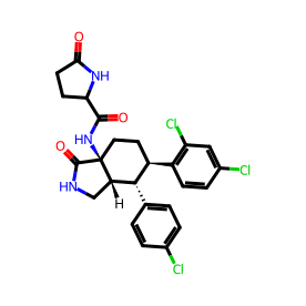 O=C1CCC(C(=O)N[C@@]23CC[C@@H](c4ccc(Cl)cc4Cl)[C@H](c4ccc(Cl)cc4)[C@@H]2CNC3=O)N1